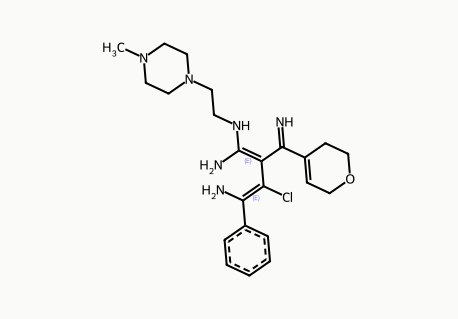 CN1CCN(CCN/C(N)=C(C(=N)C2=CCOCC2)/C(Cl)=C(\N)c2ccccc2)CC1